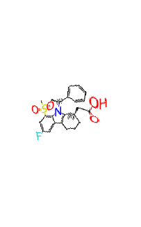 C[C@@H](c1ccccc1)n1c2c(c3cc(F)cc(S(C)(=O)=O)c31)CCC[C@@H]2CC(=O)O